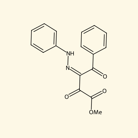 COC(=O)C(=O)C(=NNc1ccccc1)C(=O)c1ccccc1